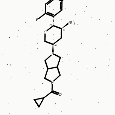 N[C@H]1C[C@@H](N2CC3CN(C(=O)C4CC4)CC3C2)CO[C@@H]1c1cc(F)ccc1F